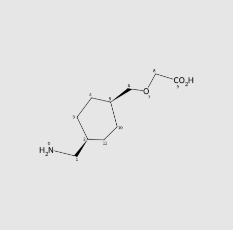 NC[C@H]1CC[C@@H](COCC(=O)O)CC1